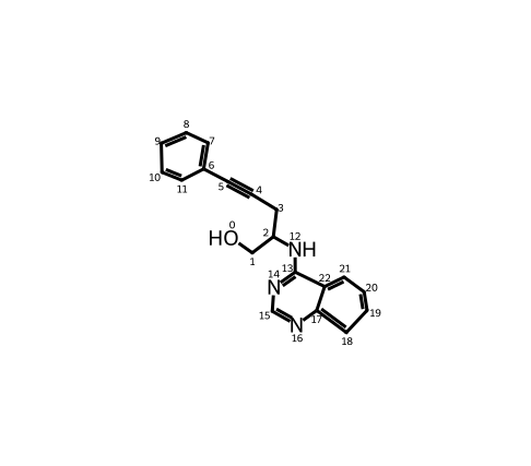 OCC(CC#Cc1ccccc1)Nc1ncnc2ccccc12